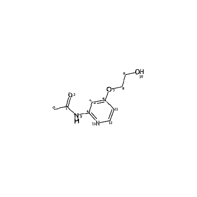 CC(=O)Nc1cc(OCCO)ccn1